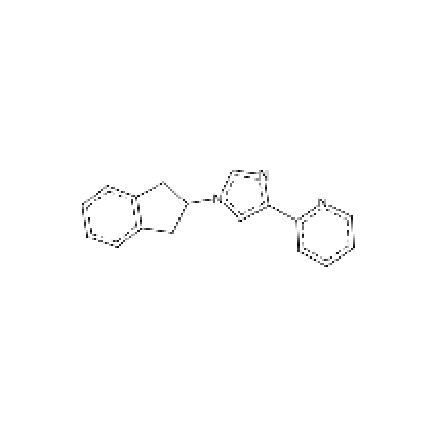 c1ccc(-c2cn(C3Cc4ccccc4C3)cn2)nc1